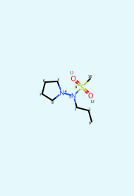 CCCN(N1CCCC1)S(C)(=O)=O